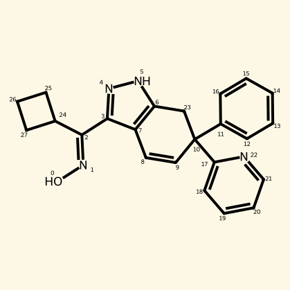 ON=C(c1n[nH]c2c1C=CC(c1ccccc1)(c1ccccn1)C2)C1CCC1